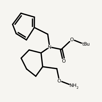 CC(C)(C)OC(=O)N(Cc1ccccc1)C1CCCCC1CON